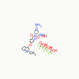 Cc1cc(COc2ccc(C(=O)N[C@@H]3CCN(CCN)C[C@@H]3C(=O)NO)cc2)c2ccccc2n1.O=C(O)C(F)(F)F.O=C(O)C(F)(F)F.O=C(O)C(F)(F)F